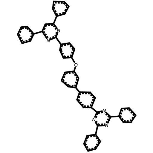 c1ccc(-c2cc(-c3ccccc3)nc(-c3ccc(Oc4cccc(-c5ccc(-c6nc(-c7ccccc7)nc(-c7ccccc7)n6)cc5)c4)cc3)n2)cc1